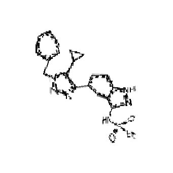 CCS(=O)(=O)Nc1n[nH]c2ccc(-c3nnn(Cc4ccccc4)c3C3CC3)cc12